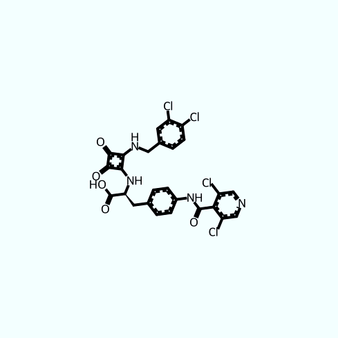 O=C(Nc1ccc(C[C@H](Nc2c(NCc3ccc(Cl)c(Cl)c3)c(=O)c2=O)C(=O)O)cc1)c1c(Cl)cncc1Cl